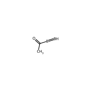 B=BC(C)=O